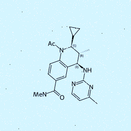 CNC(=O)c1ccc2c(c1)[C@H](Nc1nccc(C)n1)[C@@H](C)[C@H](C1CC1)N2C(C)=O